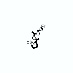 CCOCOC(C)OC(C)C1CCCCN1CC